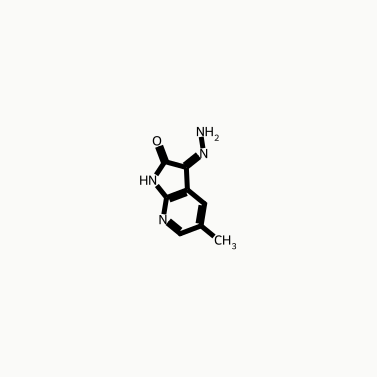 Cc1cnc2c(c1)/C(=N/N)C(=O)N2